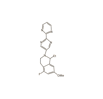 CCC1c2cc(OC)cc(F)c2CCN1c1cnc(-c2ncccn2)nc1